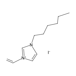 C=C[n+]1ccn(CCCCCC)c1.[I-]